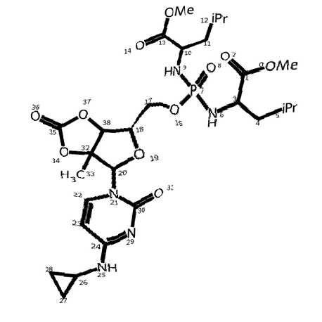 COC(=O)C(CC(C)C)NP(=O)(NC(CC(C)C)C(=O)OC)OC[C@H]1OC(n2ccc(NC3CC3)nc2=O)C2(C)OC(=O)OC12